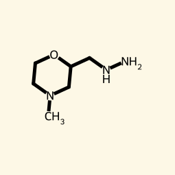 CN1CCOC(CNN)C1